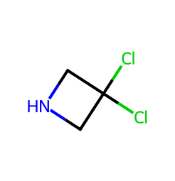 ClC1(Cl)CNC1